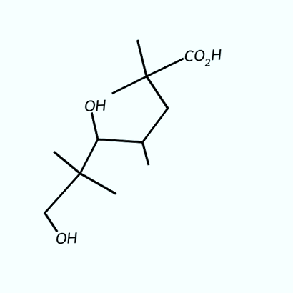 CC(CC(C)(C)C(=O)O)C(O)C(C)(C)CO